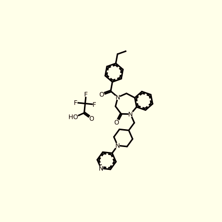 CCc1ccc(C(=O)N2CC(=O)N(CC3CCN(c4ccncc4)CC3)c3ccccc3C2)cc1.O=C(O)C(F)(F)F